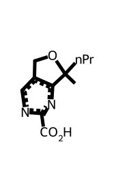 CCCC1(C)OCc2cnc(C(=O)O)nc21